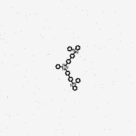 c1ccc(-c2nc(-c3ccc(-c4ccc(-c5nc6ccccc6n5-c5ccccc5)cc4)cc3)nc(-c3ccc(-c4ccc(-c5nc6ccccc6n5-c5ccccc5)cc4)cc3)n2)cc1